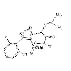 C[As](C)/C=C(\C(=O)C(F)(F)F)c1onc(-c2c(F)cccc2Cl)c1C(=O)O